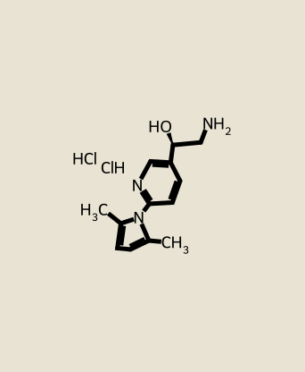 Cc1ccc(C)n1-c1ccc([C@@H](O)CN)cn1.Cl.Cl